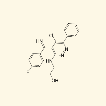 N=C(c1ccc(F)cc1)c1c(NCCO)nnc(-c2ccccc2)c1Cl